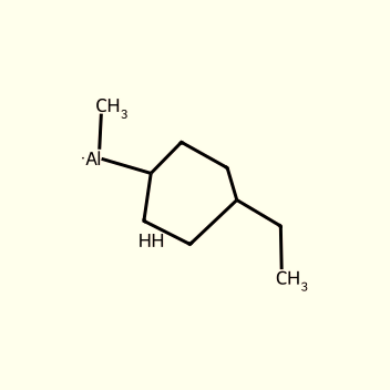 CCC1CC[CH]([Al][CH3])CC1.[HH]